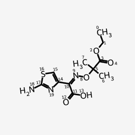 CCOC(=O)C(C)(C)ON=C(C(=O)O)c1csc(N)n1